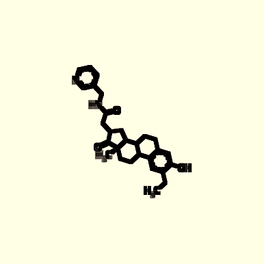 CCc1cc2c(cc1O)CCC1C2CC[C@]2(C)C(=O)C(CC(=O)NCc3cccnc3)CC12